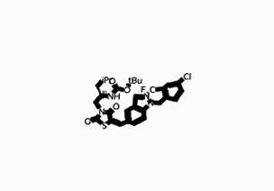 CC(C)C[C@H](CN1C(=O)SC(=Cc2ccc3c(cnn3Cc3ccc(Cl)cc3C(F)(F)F)c2)C1=O)NC(=O)OC(C)(C)C